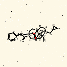 O=C(Cc1ccccn1)N1CC[C@]23CCN(CC4CC4)[C@H](Cc4ccc(O)cc42)[C@]3(O)CC1